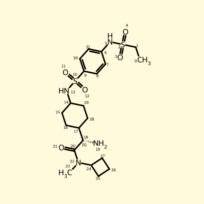 CCS(=O)(=O)Nc1ccc(S(=O)(=O)NC2CCC([C@H](N)C(=O)N(C)C3CCC3)CC2)cc1